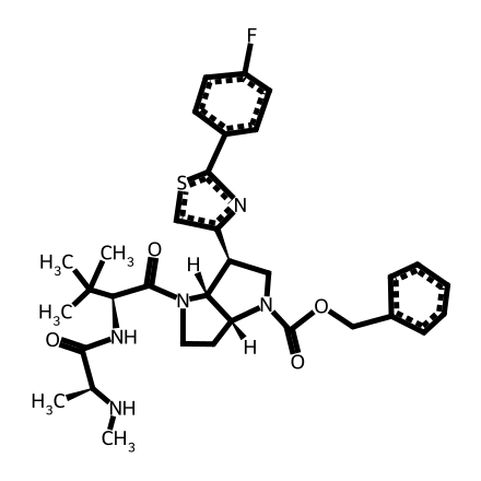 CN[C@@H](C)C(=O)N[C@H](C(=O)N1CC[C@@H]2[C@H]1[C@@H](c1csc(-c3ccc(F)cc3)n1)CN2C(=O)OCc1ccccc1)C(C)(C)C